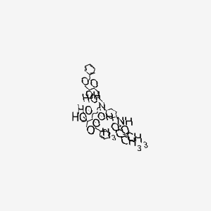 CC(C)(C)OC(=O)N[C@H]1CC[C@H](N(C[C@H](O)C[C@@H]2OC(c3ccccc3)OC[C@H]2O)C[C@H](O)[C@@H](O)[C@@H]2OC(c3ccccc3)OC[C@H]2O)CC1